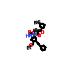 CCOCc1cc(NC(=O)OC(C)(C)C)c(NC(=O)CC(=O)c2cccc(C#N)c2)cc1C#Cc1ccccc1